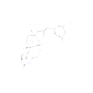 CN1C(=O)C=C[C@@]2(C)C1CC[C@@H]1[C@H]2CC[C@]2(C)C(O)C(=Cc3cc(Cl)cc(Cl)c3)C[C@@H]12